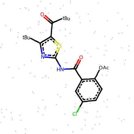 CC(=O)Oc1ccc(Cl)cc1C(=O)Nc1nc(C(C)(C)C)c(C(=O)C(C)(C)C)s1